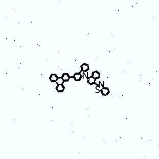 c1ccc2sc(-c3ccc(-n4c5ccccc5c5cc(-c6ccc7c8ccccc8c8ccccc8c7c6)ccc54)c4ccccc34)nc2c1